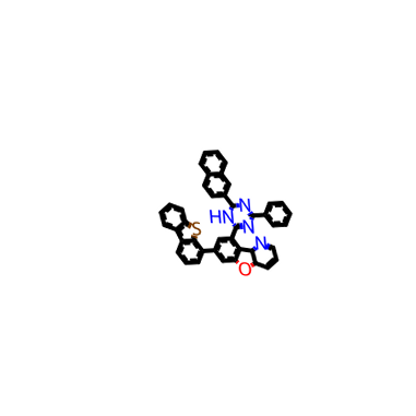 C1=CC2Oc3cc(-c4cccc5c4sc4ccccc45)cc(C4=NC(c5ccccc5)=NC(c5ccc6ccccc6c5)N4)c3C2N=C1